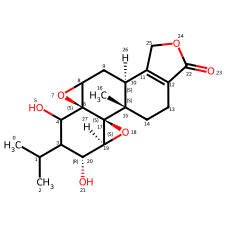 CC(C)C1C(O)[C@]23OC2C[C@H]2C4=C(CC[C@]2(C)[C@@]32O[C@H]2[C@@H]1O)C(=O)OC4